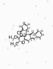 CCOc1cc2cc3ccccc3cc2c(-c2ccccc2Cl)c1OCC